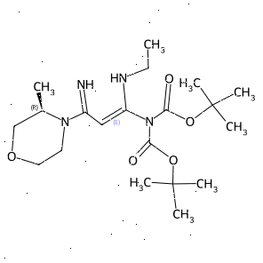 CCN/C(=C\C(=N)N1CCOC[C@H]1C)N(C(=O)OC(C)(C)C)C(=O)OC(C)(C)C